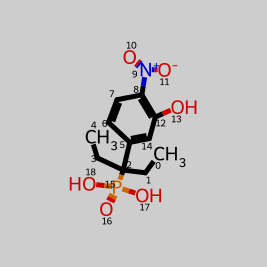 CCC(CC)(c1ccc([N+](=O)[O-])c(O)c1)P(=O)(O)O